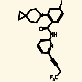 O=C(Nc1cccc(C#CCC(F)(F)F)n1)c1ccc(I)cc1N1CCC2(CC1)CC2